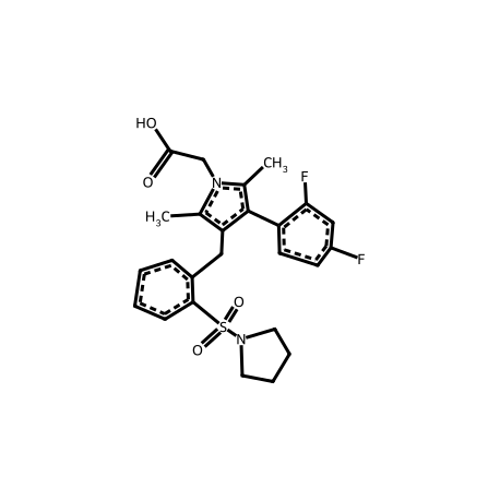 Cc1c(Cc2ccccc2S(=O)(=O)N2CCCC2)c(-c2ccc(F)cc2F)c(C)n1CC(=O)O